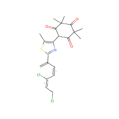 C=C(/C=C\C(Cl)=C/CCl)c1nc(C2C(=O)C(C)(C)C(=O)C(C)(C)C2=O)c(C)s1